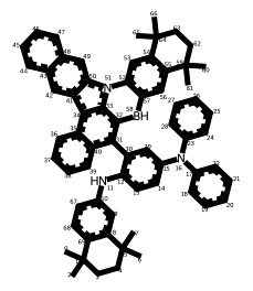 CC1(C)CCC(C)(C)c2cc(Nc3ccc(N(c4ccccc4)c4ccccc4)cc3-c3c4c5c(c6ccccc36)c3cc6ccccc6cc3n5-c3cc5c(cc3B4)C(C)(C)CCC5(C)C)ccc21